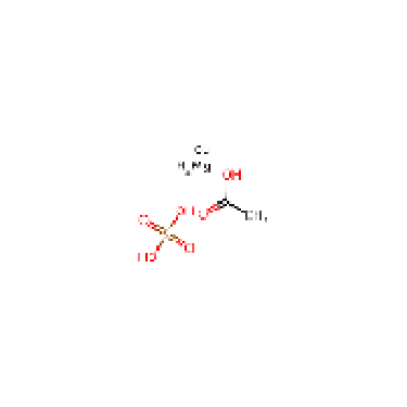 CC(=O)O.O=S(=O)(O)O.[Cu].[MgH2]